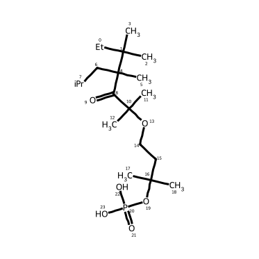 CCC(C)(C)C(C)(CC(C)C)C(=O)C(C)(C)OCCC(C)(C)OP(=O)(O)O